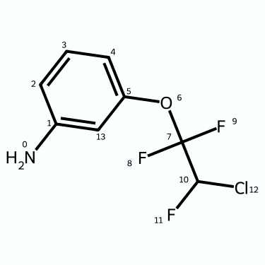 Nc1cccc(OC(F)(F)C(F)Cl)c1